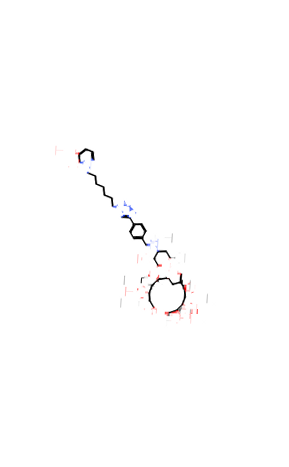 CC[C@H]1OC(=O)[C@H](C)[C@@H](O)[C@H](C)[C@@H](O[C@@H]2O[C@H](C)C[C@H](N(C)Cc3ccc(-c4cn(CCCCCCCn5cccc(O)c5=O)nn4)cc3)[C@H]2O)[C@@]2(C)C[C@@H](CO2)C(=O)[C@H](C)[C@@H](O)[C@]1(C)O